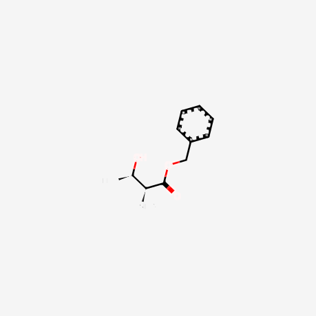 CC(=O)N[C@H](C(=O)OCc1ccccc1)[C@@H](C)O